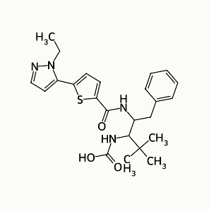 CCn1nccc1-c1ccc(C(=O)NC(Cc2ccccc2)C(NC(=O)O)C(C)(C)C)s1